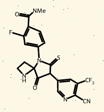 CNC(=O)c1ccc(N2C(=S)C(c3cnc(C#N)c(C(F)(F)F)c3)C(=O)C23CCN3)cc1F